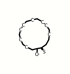 [O]C1CCCCCCCCCCCCCCCCC1=S